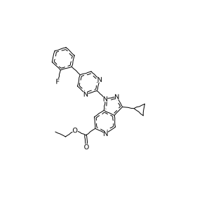 CCOC(=O)c1cc2c(cn1)c(C1CC1)nn2-c1ncc(-c2ccccc2F)cn1